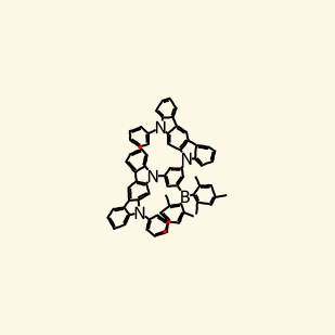 Cc1cc(C)c(B(c2cc(-n3c4ccccc4c4cc5c6ccccc6n(-c6ccccc6)c5cc43)cc(-n3c4ccccc4c4cc5c6ccccc6n(-c6ccccc6)c5cc43)c2)c2c(C)cc(C)cc2C)c(C)c1